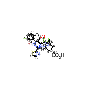 COC(=O)C1=C(CN2[C@@H]3C[C@H](CC(=O)O)C[C@H]2C(F)(F)C3)NC(c2nccs2)=N[C@H]1c1cccc(F)c1Br